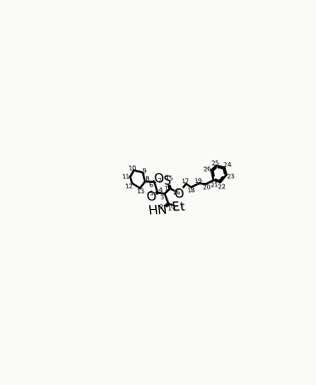 CCC(=N)C(C(=O)C(=O)C1CCCCC1)C(=S)OCCCCc1ccccc1